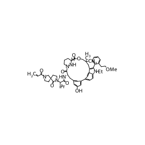 C=CC(=O)N1CC[C@]2(CCN(C(C(=O)N[C@H]3Cc4cc(O)cc(c4)-c4ccc5c(c4)c(c(-c4ccccc4CCOC)n5CC)CC(C)(C)COC(=O)[C@@H]4CCCN(N4)C3=O)C(C)C)C2=O)C1